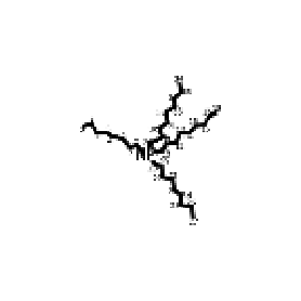 CCCCCCCCC[PH](CCCCCCCCC)(CCCCCCCCC)CCCCCCCCC